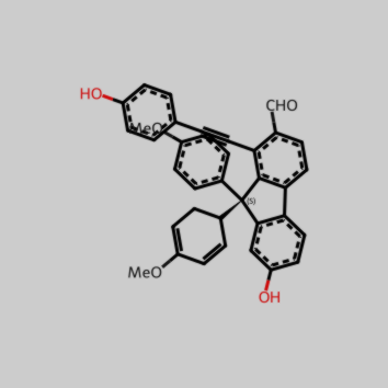 COC1=CCC([C@]2(c3ccc(OC)cc3)c3cc(O)ccc3-c3ccc(C=O)c(C#Cc4ccc(O)cc4)c32)C=C1